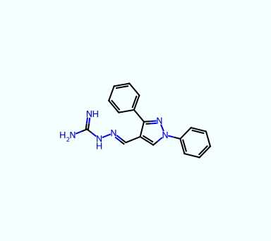 N=C(N)N/N=C/c1cn(-c2ccccc2)nc1-c1ccccc1